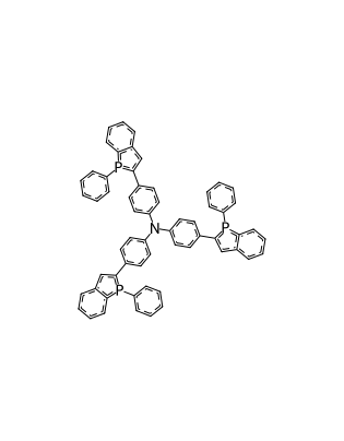 c1ccc(-p2c(-c3ccc(N(c4ccc(-c5cc6ccccc6p5-c5ccccc5)cc4)c4ccc(-c5cc6ccccc6p5-c5ccccc5)cc4)cc3)cc3ccccc32)cc1